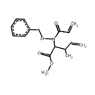 C=CC(=O)N(OCc1ccccc1)C(C(=O)OC)C(C)C=C